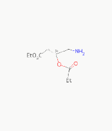 CCOC(=O)C[C@H](CN)OC(=O)CC